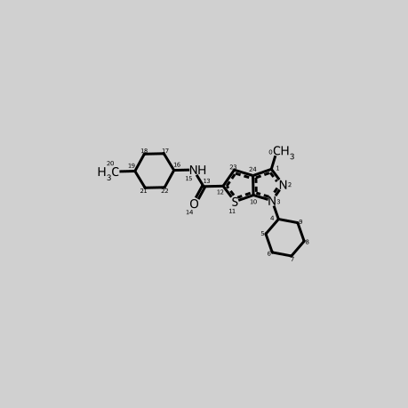 Cc1nn(C2CCCCC2)c2sc(C(=O)NC3CCC(C)CC3)cc12